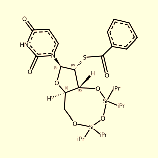 CC(C)[Si]1(C(C)C)OC[C@H]2O[C@@H](n3ccc(=O)[nH]c3=O)[C@H](SC(=O)c3ccccc3)[C@@H]2O[Si](C(C)C)(C(C)C)O1